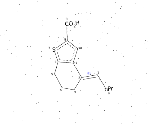 CCC/C=C1\CCCc2sc(C(=O)O)cc21